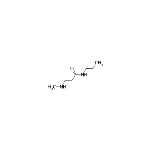 CCCNC(=O)CCNC